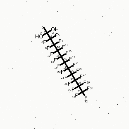 CC(O)(O)C(F)(F)C(F)(F)C(F)(F)C(F)(F)C(F)(F)C(F)(F)C(F)(F)C(F)(F)C(F)(F)C(F)(F)F